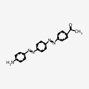 CC(=O)c1ccc(N=Nc2ccc(N=Nc3ccc(N)cc3)cc2)cc1